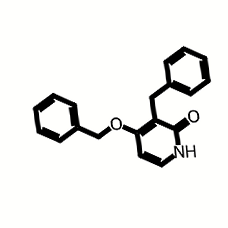 O=c1[nH]ccc(OCc2ccccc2)c1Cc1ccccc1